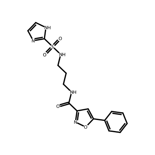 O=C(NCCCNS(=O)(=O)c1ncc[nH]1)c1cc(-c2ccccc2)on1